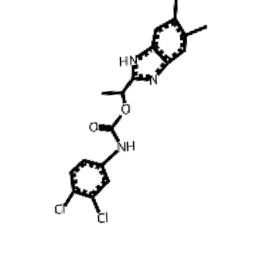 Cc1cc2nc(C(C)OC(=O)Nc3ccc(Cl)c(Cl)c3)[nH]c2cc1C